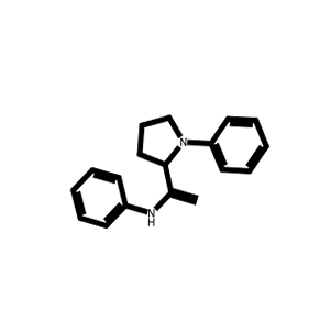 C=C(Nc1ccccc1)C1CCCN1c1ccccc1